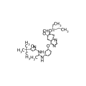 C=C(Nc1cccc(Oc2ncnc3cc(O[C@@H](CC)CCC)c(OC)cc23)c1)Nc1cc(C(C)(C)C)on1